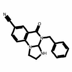 N#Cc1ccc2c(c1)C(=O)N(Cc1ccccc1)C1NCCN21